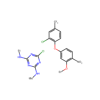 CCNc1nc(Cl)nc(NC(C)(C)C)n1.CCOc1cc(Oc2ccc(C(F)(F)F)cc2Cl)ccc1[N+](=O)[O-]